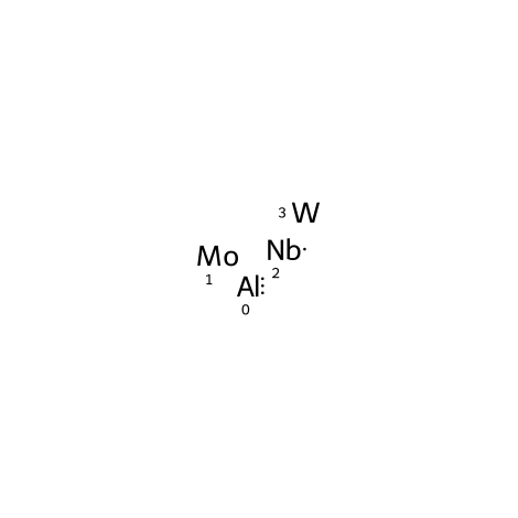 [Al].[Mo].[Nb].[W]